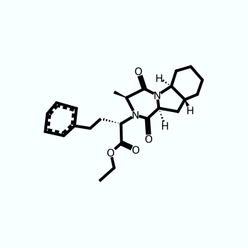 CCOC(=O)[C@H](CCc1ccccc1)N1C(=O)[C@@H]2C[C@H]3CCCC[C@@H]3N2C(=O)[C@@H]1C